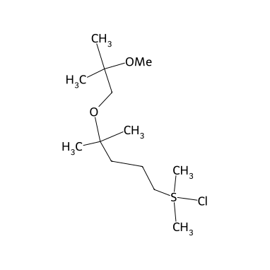 COC(C)(C)COC(C)(C)CCCS(C)(C)Cl